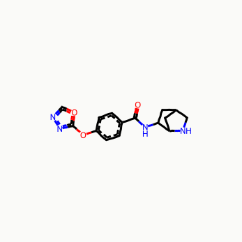 O=C(NC1CC2CNC1C2)c1ccc(Oc2nnco2)cc1